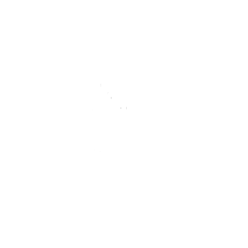 C#CCOCCOS(=O)(=O)c1cccc(C)c1